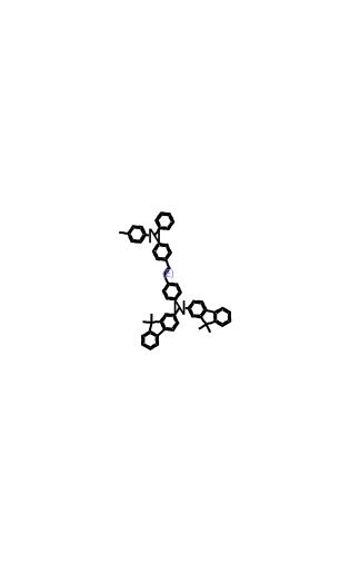 Cc1ccc(N(c2ccccc2)c2ccc(/C=C/c3ccc(N(c4ccc5c(c4)C(C)(C)c4ccccc4-5)c4ccc5c(c4)C(C)(C)c4ccccc4-5)cc3)cc2)cc1